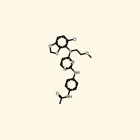 COCCN(c1ccnc(Nc2ccc(NC(C)=O)cc2)n1)c1c(Cl)ccc2c1OCO2